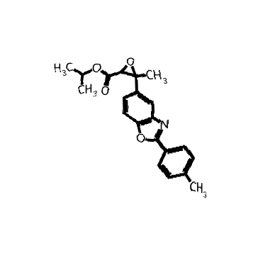 Cc1ccc(-c2nc3cc(C4(C)OC4C(=O)OC(C)C)ccc3o2)cc1